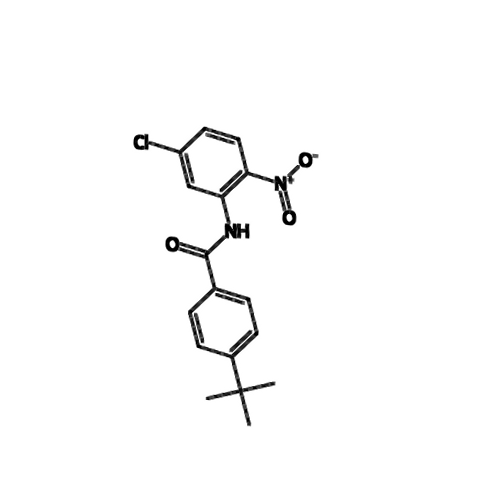 CC(C)(C)c1ccc(C(=O)Nc2cc(Cl)ccc2[N+](=O)[O-])cc1